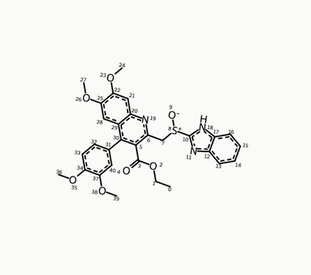 CCOC(=O)c1c(C[S+]([O-])c2nc3ccccc3[nH]2)nc2cc(OC)c(OC)cc2c1-c1ccc(OC)c(OC)c1